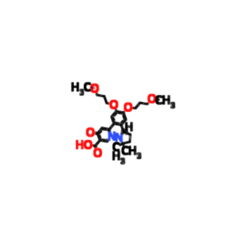 COCCCOc1cc2c(cc1OCCCOC)[C@H]1CCC(C)(C)N1n1cc(C(=O)O)c(=O)cc1-2